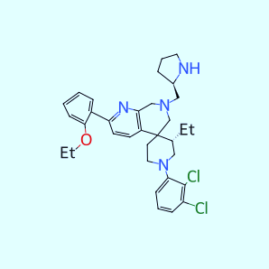 CCOc1ccccc1-c1ccc2c(n1)CN(C[C@H]1CCCN1)CC21CCN(c2cccc(Cl)c2Cl)C[C@H]1CC